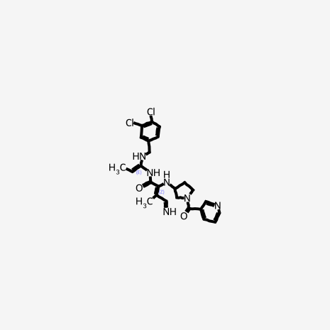 C/C=C(\NCc1ccc(Cl)c(Cl)c1)NC(=O)/C(NC1CCN(C(=O)c2cccnc2)C1)=C(\C)C=N